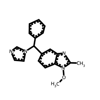 COn1c(C)nc2cc(C(c3ccccc3)n3ccnc3)ccc21